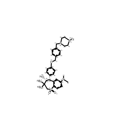 CCCCC1(CCCC)CS(=O)(=O)c2ccc(N(C)C)cc2[C@@H](c2ccc(OCc3ccc(CN4CCN(CC)CC4)cc3)cc2)[C@H]1O